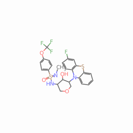 CN=S(=O)(NC1COCC(N2c3ccccc3Sc3cc(F)ccc32)C1O)c1ccc(OC(F)(F)F)cc1